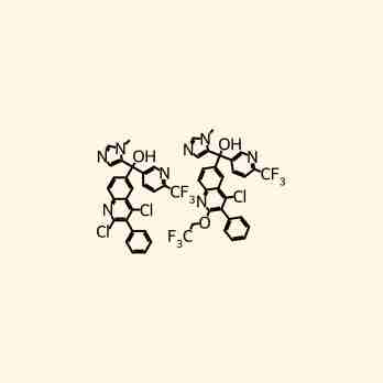 Cn1cncc1C(O)(c1ccc(C(F)(F)F)nc1)c1ccc2nc(Cl)c(-c3ccccc3)c(Cl)c2c1.Cn1cncc1C(O)(c1ccc(C(F)(F)F)nc1)c1ccc2nc(OCC(F)(F)F)c(-c3ccccc3)c(Cl)c2c1